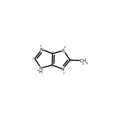 Cc1nc2[nH]cnc2s1